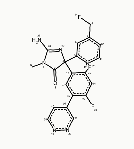 CN1C(=O)C(c2cc(CF)ccn2)(c2cc(-c3ccnnc3)c(F)cc2F)N=C1N